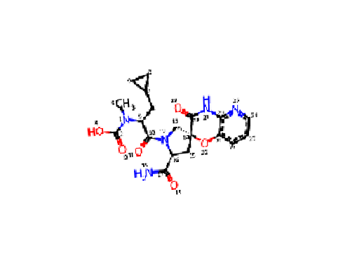 CN(C(=O)O)[C@@H](CC1CC1)C(=O)N1C[C@@]2(C[C@H]1C(N)=O)Oc1cccnc1NC2=O